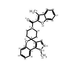 Cc1c(C(=O)N2CCC3(CC2)Oc2ccccc2-c2c3cnn2C)oc2ccccc12